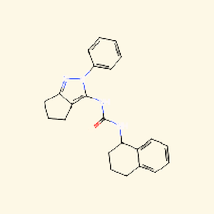 O=C(Nc1c2c(nn1-c1ccccc1)CCC2)NC1CCCc2ccccc21